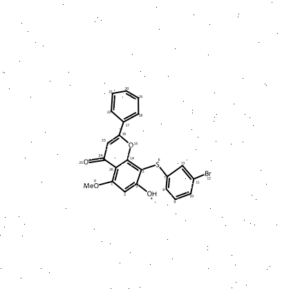 COc1cc(O)c(Sc2cccc(Br)c2)c2oc(-c3ccccc3)cc(=O)c12